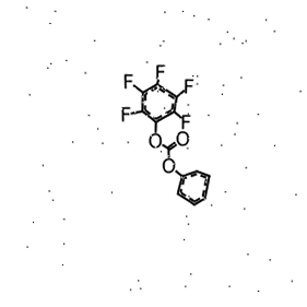 O=C(Oc1ccccc1)Oc1c(F)c(F)c(F)c(F)c1F